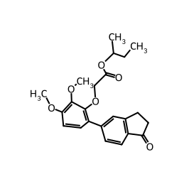 CCC(C)OC(=O)COc1c(-c2ccc3c(c2)CCC3=O)ccc(OC)c1OC